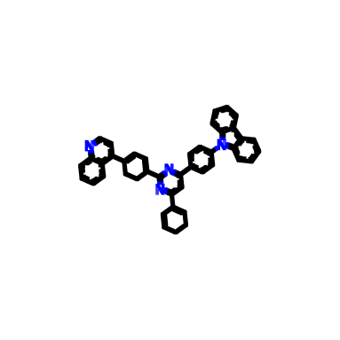 C1=CC(c2cc(-c3ccc(-n4c5ccccc5c5ccccc54)cc3)nc(C3=CC=C(c4ccnc5ccccc45)CC3)n2)=CCC1